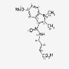 COc1ccc2c(c1)c(C(=O)NC/C=C/C(=O)O)c(C)n2C